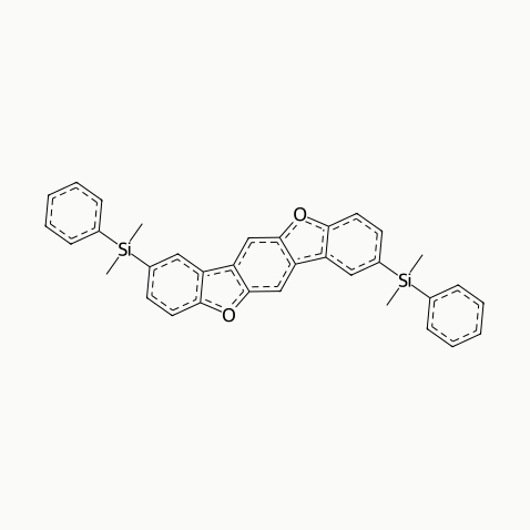 C[Si](C)(c1ccccc1)c1ccc2oc3cc4c(cc3c2c1)oc1ccc([Si](C)(C)c2ccccc2)cc14